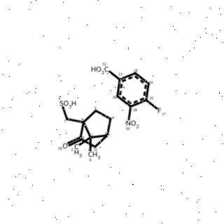 CC1(C)C2CCC1(CS(=O)(=O)O)C(=O)C2.O=C(O)c1ccc(F)c([N+](=O)[O-])c1